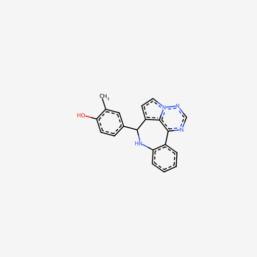 Cc1cc(C2Nc3ccccc3-c3ncnn4ccc2c34)ccc1O